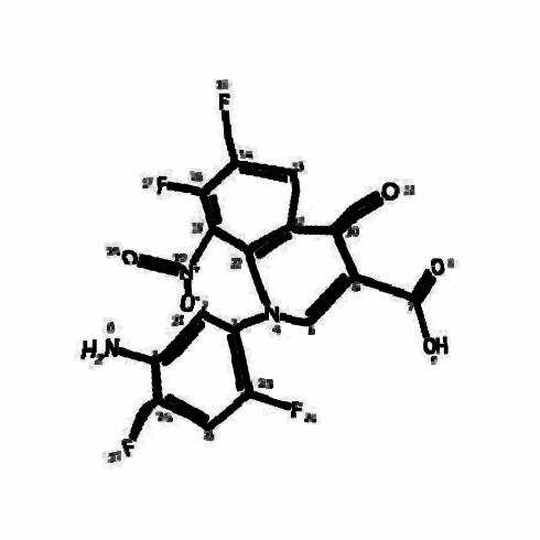 Nc1cc(-n2cc(C(=O)O)c(=O)c3cc(F)c(F)c([N+](=O)[O-])c32)c(F)cc1F